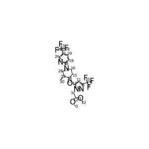 COC(Cn1nc(C(F)(F)F)cc1O[C@@H]1CCN(c2ccc(C(F)(F)F)cn2)C[C@@H]1C)OC